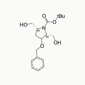 CC(C)(C)OC(=O)N1[C@@H](CO)CC(OCc2ccccc2)[C@H]1CO